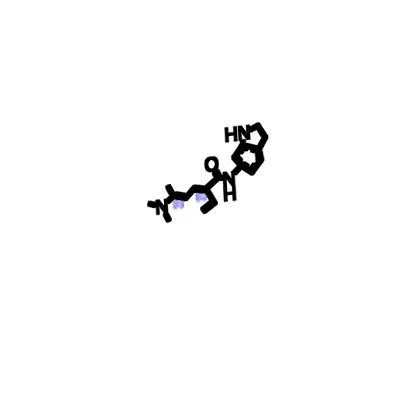 C=C/C(=C\C=C(/C)N(C)C)C(=O)Nc1ccc2c(c1)NCC2